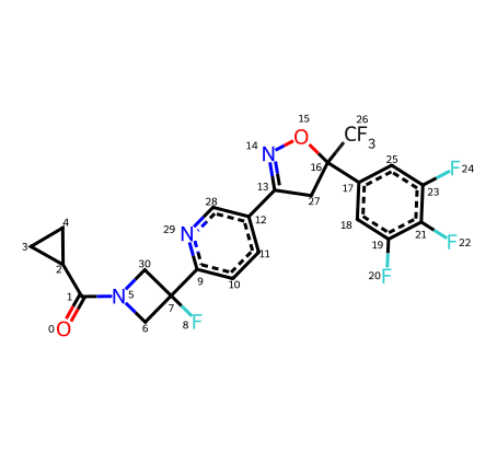 O=C(C1CC1)N1CC(F)(c2ccc(C3=NOC(c4cc(F)c(F)c(F)c4)(C(F)(F)F)C3)cn2)C1